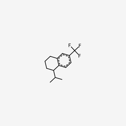 CC(C)C1CCCc2cc(C(F)(F)F)ccc21